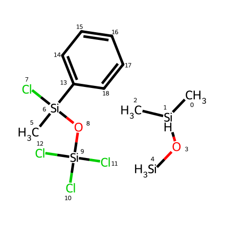 C[SiH](C)O[SiH3].C[Si](Cl)(O[Si](Cl)(Cl)Cl)c1ccccc1